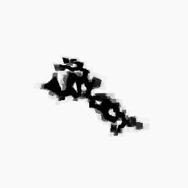 CCC(CCO)CC(C(=O)Nc1nc2ccc(CC(C)C)nc2s1)c1ccc(SC2CC2)cc1